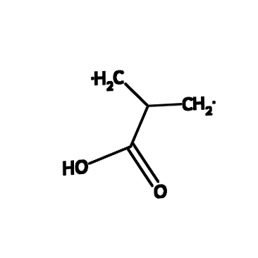 [CH2]C([CH2])C(=O)O